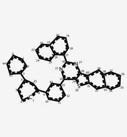 c1ccc(-c2cccc(-c3cccc(-c4nc(-c5cccc6ccccc56)nc5c4sc4cc6ccccc6cc45)c3)c2)cc1